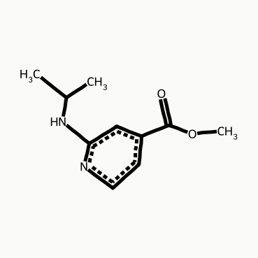 COC(=O)c1ccnc(NC(C)C)c1